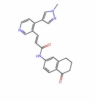 Cn1cc(-c2ccncc2C=CC(=O)Nc2ccc3c(c2)CCCC3=O)cn1